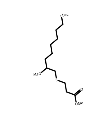 CCCCCCCCCCCCCCCCC(CSCCC(=O)OC)OC